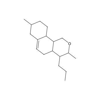 CCCC1C(C)OCC2C3CCC(C)CC3=CCC12